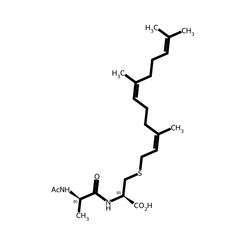 CC(=O)N[C@H](C)C(=O)N[C@@H](CSCC=C(C)CCC=C(C)CCC=C(C)C)C(=O)O